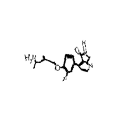 CC(N)CC(C)COc1ccc(-c2ccnc3c2C(=O)NC3)cc1F